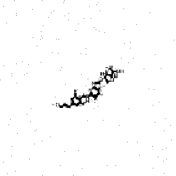 OC/C=C/c1cc(F)c(CNc2nc3nc(O[C@@H]4CO[C@H]5[C@@H]4OC[C@H]5O)[nH]c3cc2Cl)c(F)c1